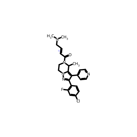 CC1c2c(-c3ccncc3)c(-c3ccc(Cl)cc3F)nn2CCN1C(=O)/C=C/CN(C)C